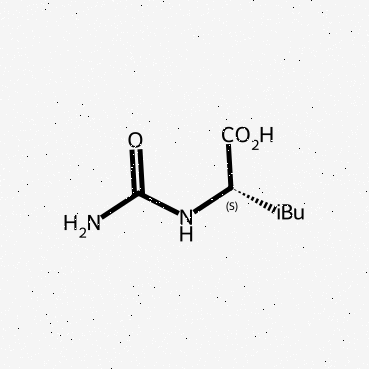 CCC(C)[C@H](NC(N)=O)C(=O)O